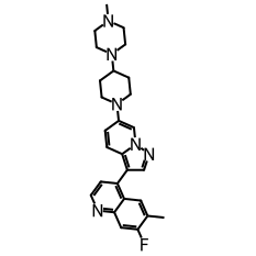 Cc1cc2c(-c3cnn4cc(N5CCC(N6CCN(C)CC6)CC5)ccc34)ccnc2cc1F